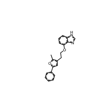 Cc1oc(-c2ccccc2)cc1CCOc1cccc2[nH]cnc12